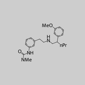 CCCC(CNCCc1cccc(NC(=O)NC)c1)c1cccc(OC)c1